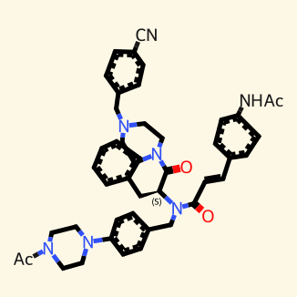 CC(=O)Nc1ccc(C=CC(=O)N(Cc2ccc(N3CCN(C(C)=O)CC3)cc2)[C@@H](Cc2ccccc2)C(=O)N2CCN(Cc3ccc(C#N)cc3)CC2)cc1